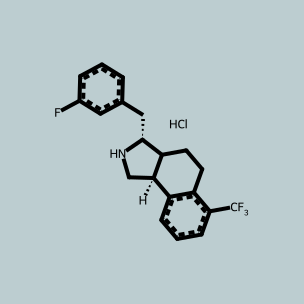 Cl.Fc1cccc(C[C@H]2NC[C@@H]3c4cccc(C(F)(F)F)c4CCC32)c1